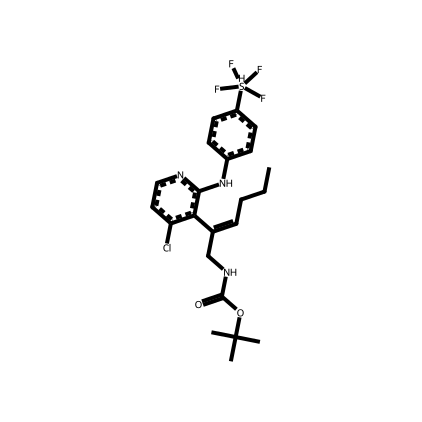 CCC/C=C(/CNC(=O)OC(C)(C)C)c1c(Cl)ccnc1Nc1ccc([SH](F)(F)(F)F)cc1